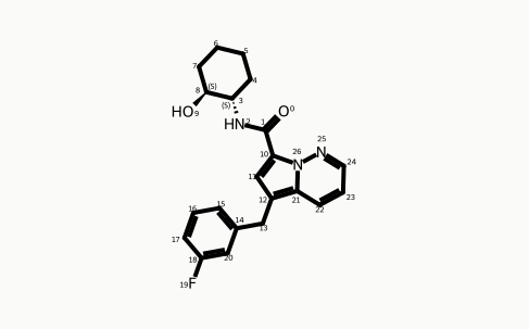 O=C(N[C@H]1CCCC[C@@H]1O)c1cc(Cc2cccc(F)c2)c2cccnn12